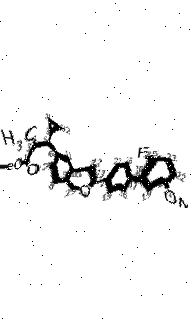 COC(=O)[C@@H](C)[C@H](c1ccc2c(c1)C[C@@H](c1ccc(-c3cc(OC)ccc3F)cc1)OC2)C1CC1